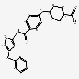 O=C(Nc1nc(Cc2ccccc2)no1)c1ccc(OC2CCC(C(=O)O)CC2)cc1